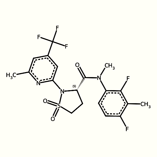 Cc1cc(C(F)(F)F)cc(N2[C@H](C(=O)N(C)c3ccc(F)c(C)c3F)CCS2(=O)=O)n1